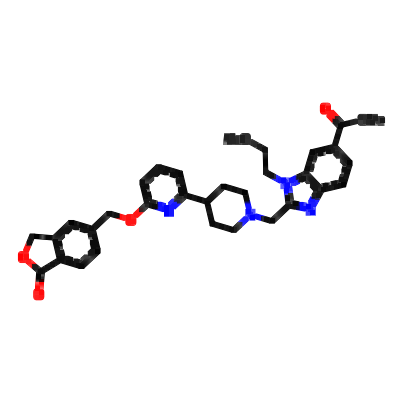 COCCn1c(CN2CCC(c3cccc(OCc4ccc5c(c4)COC5=O)n3)CC2)nc2ccc(C(=O)OC)cc21